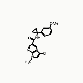 COc1cccc(C2(NC(=O)c3cnc4c(c3)c(Cl)cn4C)CC2)c1